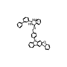 NC(N/C(=N\Cc1ccc(-n2c3ccccc3c3cc4c(cc32)OC2C=CC=CC42)cc1)c1ccccc1)c1cccc(-c2ccccc2)c1